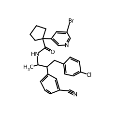 CC(NC(=O)C1(c2cncc(Br)c2)CCCC1)C(Cc1ccc(Cl)cc1)c1cccc(C#N)c1